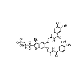 CCc1c(S(=O)(=O)NCP(=O)(O)O)sc2cc(OCC(C)NC(=O)c3ccc(O)c(O)c3)c(OCC(C)NC(=O)c3ccc(O)c(O)c3)cc12